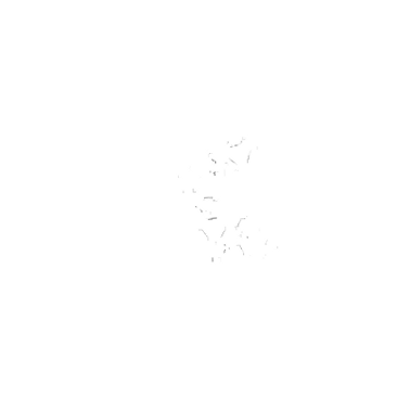 CC(C)n1c(=O)n(CC2CC2)c(=O)c2cc(NC(=O)[C@@H]3CCCC3NC(=O)c3ccccc3)ccc21